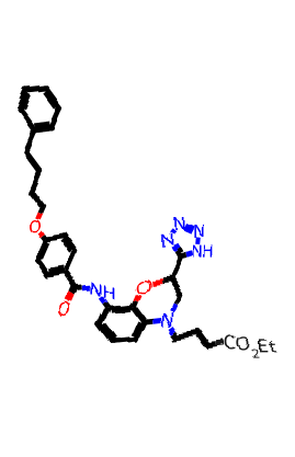 CCOC(=O)CCCN1CC(c2nnn[nH]2)Oc2c(NC(=O)c3ccc(OCCCCc4ccccc4)cc3)cccc21